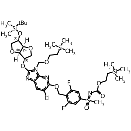 CC(C)(C)[Si](C)(C)O[C@@H]1CO[C@H]2[C@@H]1OC[C@H]2Oc1nc2cc(Cl)c(OCc3c(F)cc(S(C)(=O)=NC(=O)OCC[Si](C)(C)C)cc3F)nc2n1COCC[Si](C)(C)C